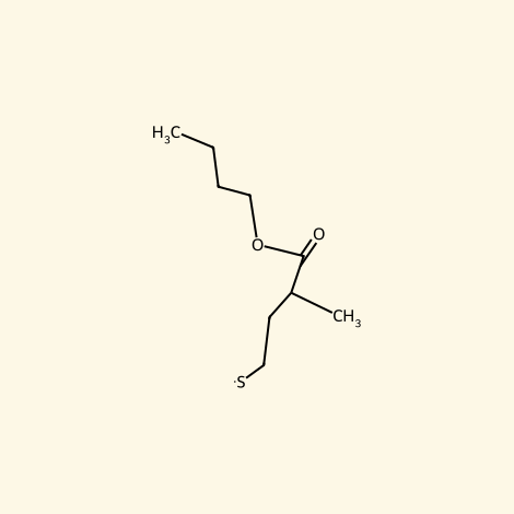 CCCCOC(=O)C(C)CC[S]